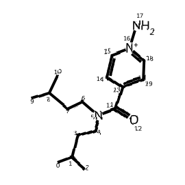 CC(C)CCN(CCC(C)C)C(=O)c1cc[n+](N)cc1